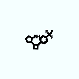 NC1CCCC1C1CC[C]1c1ccc(C(F)(F)F)cc1